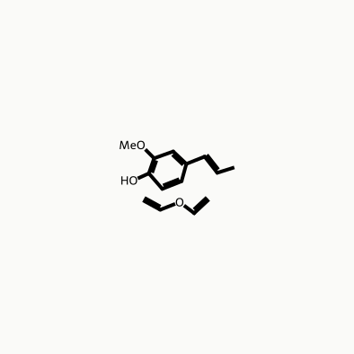 C=COC=C.CC=Cc1ccc(O)c(OC)c1